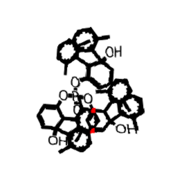 Cc1cccc(C)c1C1C(OP(=O)(OC2=CC=CC(O)(c3c(C)cccc3C)C2c2c(C)cccc2C)OC2=CC=CC(O)(c3c(C)cccc3C)C2c2c(C)cccc2C)=CC=CC1(O)c1c(C)cccc1C